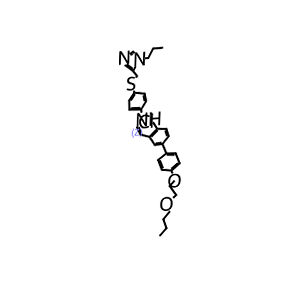 CCCCOCCOc1ccc(-c2ccc(Cl)c(/C=C\Nc3ccc(SCc4cncn4CCC)cc3)c2)cc1